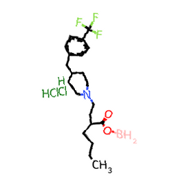 BOC(=O)C(CCCC)CCN1CCC(Cc2ccc(C(F)(F)F)cc2)CC1.Cl.Cl